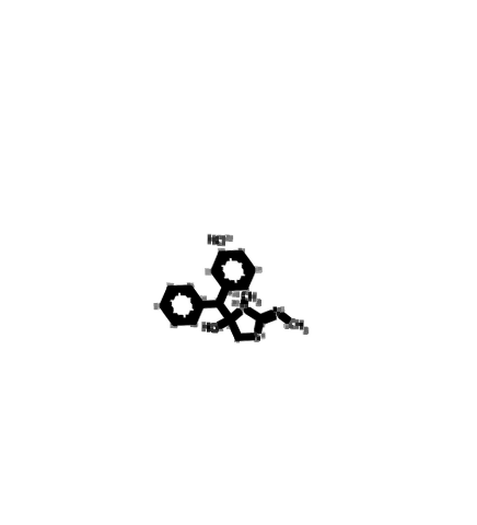 CN=C1SCC(O)(C(c2ccccc2)c2ccccc2)N1C.Cl